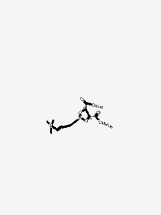 COC(=O)[C@@H]1OB(CC=C[Si](C)(C)C)O[C@H]1C(=O)OC